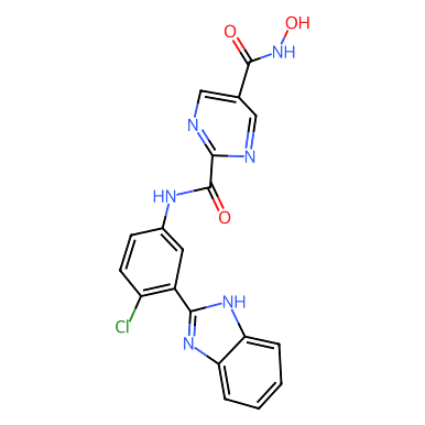 O=C(NO)c1cnc(C(=O)Nc2ccc(Cl)c(-c3nc4ccccc4[nH]3)c2)nc1